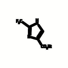 CCOC(=O)c1c[nH]c(C(F)(F)F)n1